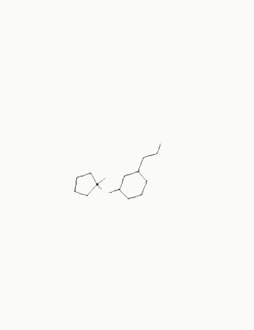 CC1(OC2CCCC(CC[SiH3])C2)CCCC1